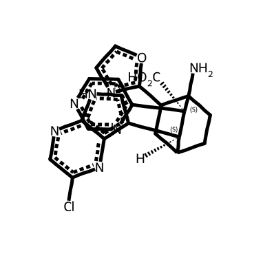 NC12CCC(CC1c1ncco1)[C@@H](c1c[nH]c3ncc(Cl)nc13)[C@@]2(C(=O)O)c1ccncn1